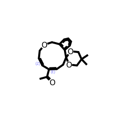 CC(=O)C1=C/CC2(OCC(C)(C)CO2)c2ccccc2COC/C=C\1